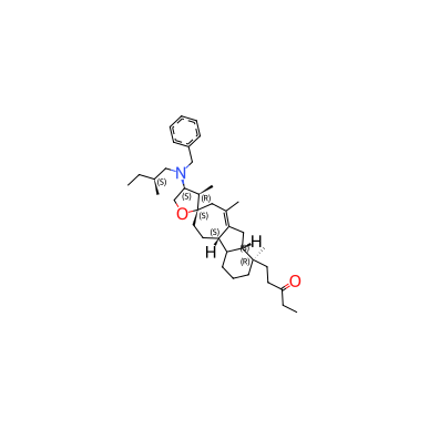 CCC(=O)CC[C@@]1(C)CCCC2[C@@H]3CC[C@@]4(CC(C)=C3C[C@@H]21)OC[C@@H](N(Cc1ccccc1)C[C@@H](C)CC)[C@H]4C